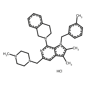 Cc1cccc(Cn2c(C)c(C)c3cc(CN4CCN(C)CC4)nc(N4CCc5ccccc5C4)c32)c1.Cl